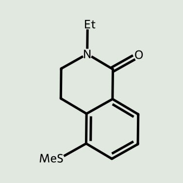 CCN1CCc2c(SC)cccc2C1=O